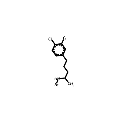 CC(CCCc1ccc(Cl)c(Cl)c1)NBr